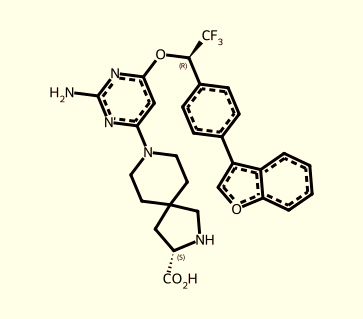 Nc1nc(O[C@H](c2ccc(-c3coc4ccccc34)cc2)C(F)(F)F)cc(N2CCC3(CC2)CN[C@H](C(=O)O)C3)n1